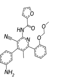 COCOc1ccccc1-c1nc(NC(=O)c2ccco2)c(C#N)c(-c2cccc(N)c2)c1C